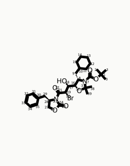 CC(C)(C)OC(=O)N1[C@@H](CC2CCCCC2)[C@H]([C@H](O)[C@@H](Br)C(=O)N2C(=O)OC[C@H]2Cc2ccccc2)OC1(C)C